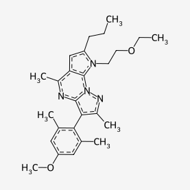 CCCc1cc2c(C)nc3c(-c4c(C)cc(OC)cc4C)c(C)nn3c2n1CCOCC